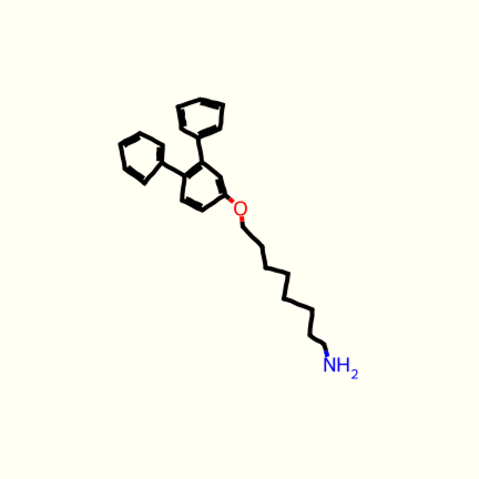 NCCCCCCCCOc1ccc(-c2ccccc2)c(-c2ccccc2)c1